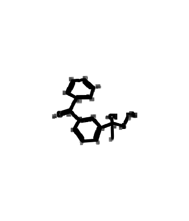 CCCCSC(C)(C#N)c1cccc(C(=O)c2ccccc2)c1